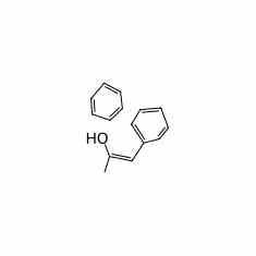 CC(O)=Cc1ccccc1.c1ccccc1